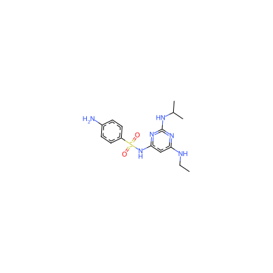 CCNc1cc(NS(=O)(=O)c2ccc(N)cc2)nc(NC(C)C)n1